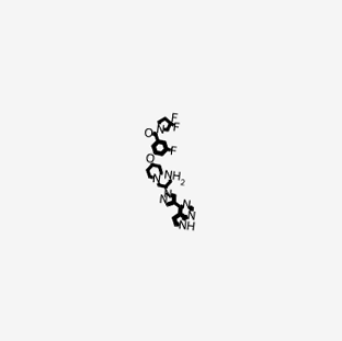 NCC(CN1CCC(Oc2cc(F)cc(C(=O)N3CCC(F)(F)C3)c2)CC1)n1cc(-c2ncnc3[nH]ccc23)cn1